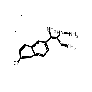 C=C/C(NN)=C(/N)c1ccc2cc(Cl)ccc2c1